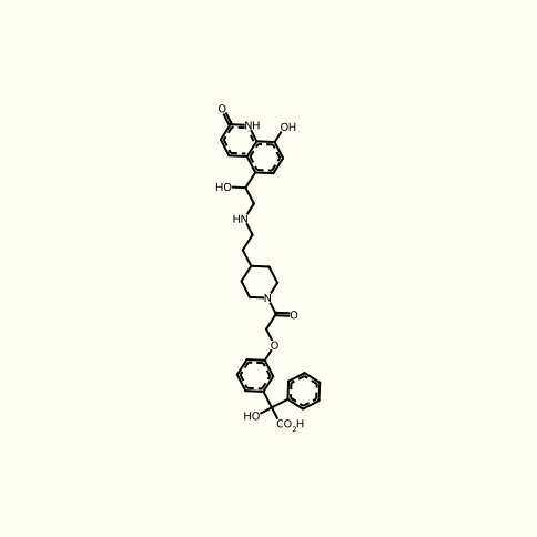 O=C(COc1cccc(C(O)(C(=O)O)c2ccccc2)c1)N1CCC(CCNCC(O)c2ccc(O)c3[nH]c(=O)ccc23)CC1